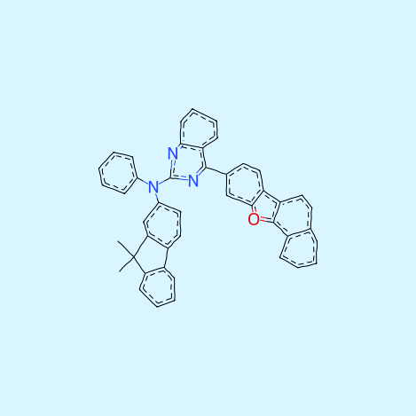 CC1(C)c2ccccc2-c2ccc(N(c3ccccc3)c3nc(-c4ccc5c(c4)oc4c6ccccc6ccc54)c4ccccc4n3)cc21